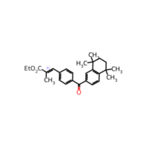 CCOC(=O)/C(C)=C/c1ccc(C(=O)c2ccc3c(c2)C(C)(C)CCC3(C)C)cc1